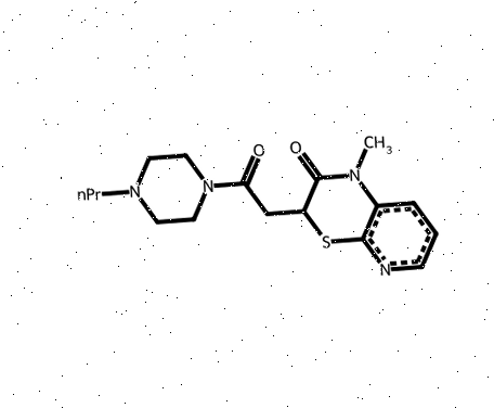 CCCN1CCN(C(=O)CC2Sc3ncccc3N(C)C2=O)CC1